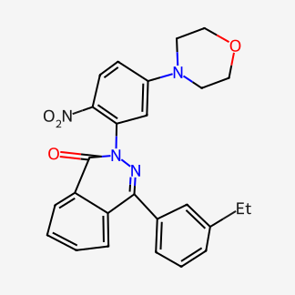 CCc1cccc(-c2nn(-c3cc(N4CCOCC4)ccc3[N+](=O)[O-])c(=O)c3ccccc23)c1